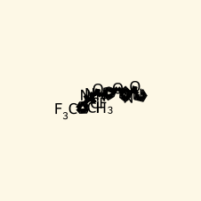 O=C(Nc1ccc(Oc2ccnc(C(=O)N3CCCC3)c2)cc1)C1=C(C(F)(F)F)C(c2cc(C(F)(F)F)ccc2Cl)N=N1